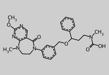 COc1ncc2c(n1)N(C)CCN(c1cccc(COC(CCN(C)C(=O)O)c3ccccc3)c1)C2=O